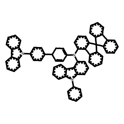 C1=CC(c2ccc(-n3c4ccccc4c4ccccc43)cc2)CC=C1N(c1cccc2c1-c1ccccc1C21c2ccccc2-c2ccccc21)c1cccc2c1c1ccccc1n2-c1ccccc1